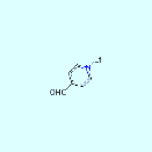 CC[n+]1ccc(C=O)cc1